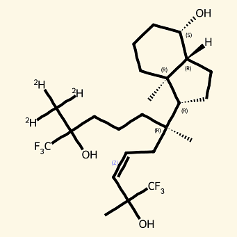 [2H]C([2H])([2H])C(O)(CCC[C@](C)(C/C=C\C(C)(O)C(F)(F)F)[C@H]1CC[C@H]2[C@@H](O)CCC[C@]12C)C(F)(F)F